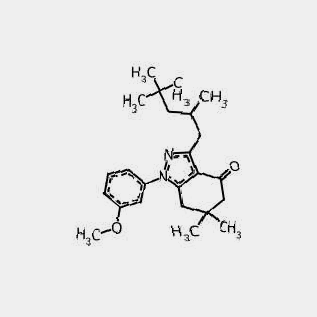 COc1cccc(-n2nc(CC(C)CC(C)(C)C)c3c2CC(C)(C)CC3=O)c1